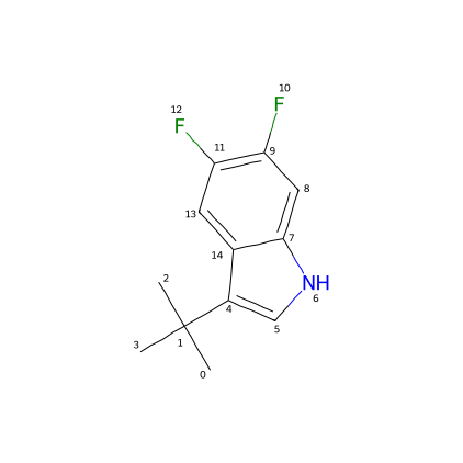 CC(C)(C)c1c[nH]c2cc(F)c(F)cc12